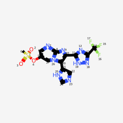 CS(=O)(=O)Oc1cnc2nc(-c3nc(C(F)(F)F)n[nH]3)c(-c3cnc[nH]3)n2c1